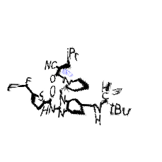 CC(C)/C=C(\C#N)C(=O)N1CCC[C@@H]1Cn1c(NC(=O)c2ccc(C(F)F)s2)nc2ccc(CN[C@H](C)C(C)(C)C)cc21